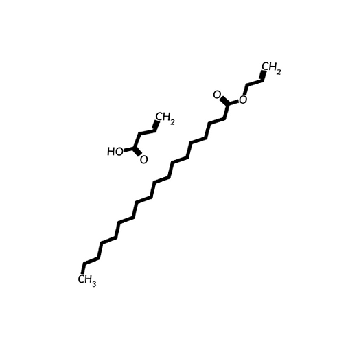 C=CCC(=O)O.C=CCOC(=O)CCCCCCCCCCCCCCCCC